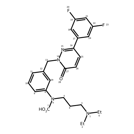 CCN(CC)CCCN(C(=O)O)c1cccc(Cn2nc(-c3cc(F)cc(F)c3)ccc2=O)c1